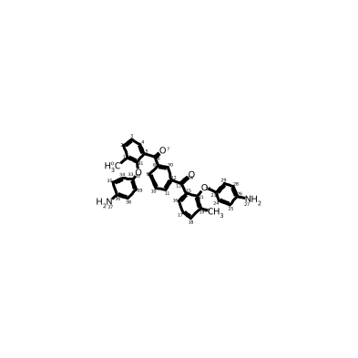 Cc1cccc(C(=O)c2cccc(C(=O)c3cccc(C)c3Oc3ccc(N)cc3)c2)c1Oc1ccc(N)cc1